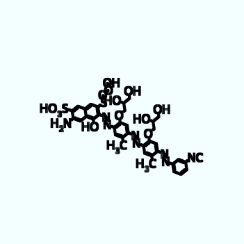 [C-]#[N+]c1cccc(N=Nc2cc(OCC(O)CO)c(N=Nc3cc(OCC(O)CO)c(N=Nc4c(SOOO)cc5cc(S(=O)(=O)O)c(N)cc5c4O)cc3C)cc2C)c1